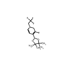 CC1(C)OB(C2=C(F)CN(CC(F)(F)F)C=C2)OC1(C)C